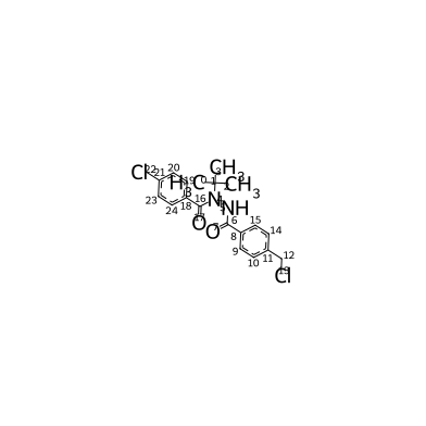 CC(C)(C)N(NC(=O)c1ccc(CCl)cc1)C(=O)c1ccc(Cl)cc1